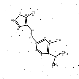 CC(C)c1ccc(OCc2nnsc2Cl)cc1F